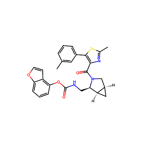 Cc1cccc(-c2sc(C)nc2C(=O)N2C[C@H]3C[C@H]3[C@H]2CNC(=O)Oc2cccc3occc23)c1